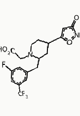 O=C(O)CN1CCC(c2cc(=O)[nH]o2)CC1Cc1cc(F)cc(C(F)(F)F)c1